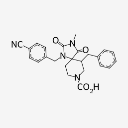 CN1C(=O)N(Cc2ccc(C#N)cc2)C2(CCN(C(=O)O)CC2Cc2ccccc2)C1=O